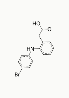 O=C(O)Cc1ccccc1Nc1ccc(Br)cc1